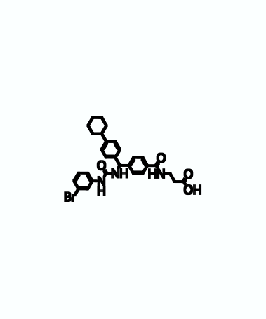 O=C(O)CCNC(=O)c1ccc(C(NC(=O)Nc2cccc(Br)c2)c2ccc(C3CCCCC3)cc2)cc1